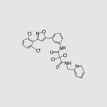 O=C(NCc1ccccn1)C(Cl)(Cl)C(=O)Nc1cccc(-c2cc(-c3c(Cl)cccc3Cl)no2)c1